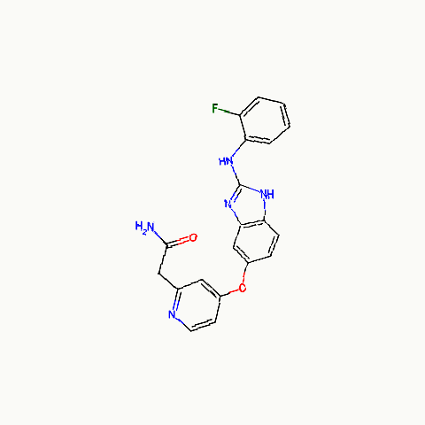 NC(=O)Cc1cc(Oc2ccc3[nH]c(Nc4ccccc4F)nc3c2)ccn1